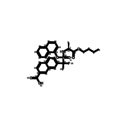 CCCCOC(=O)[C@H](C)NP(=O)(Oc1cccc2ccccc12)C(F)(F)c1ccc2ccc(C(=O)O)cc2c1